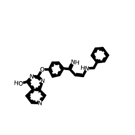 N=C(/C=C\NCc1ccccc1)c1ccc(Oc2nc(O)c3ccncc3n2)cc1